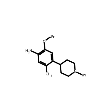 Cc1cc(N)c(OC(C)C)cc1C1CCN(C(C)C)CC1